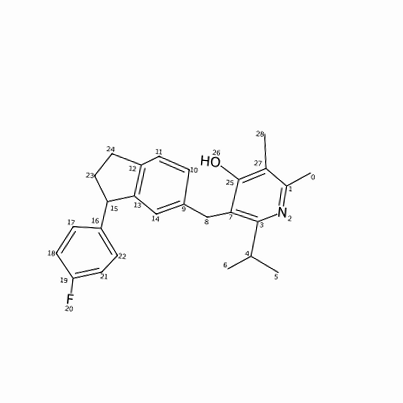 Cc1nc(C(C)C)c(Cc2ccc3c(c2)C(c2ccc(F)cc2)CC3)c(O)c1C